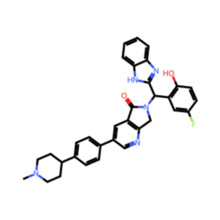 CN1CCC(c2ccc(-c3cnc4c(c3)C(=O)N(C(c3nc5ccccc5[nH]3)c3cc(F)ccc3O)C4)cc2)CC1